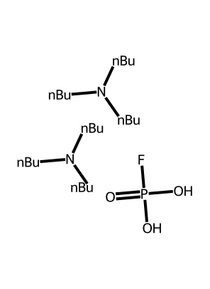 CCCCN(CCCC)CCCC.CCCCN(CCCC)CCCC.O=P(O)(O)F